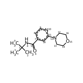 CC(C)(C)NC(=O)c1ccnc(N2CCOCC2)c1